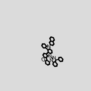 c1ccc(-c2nc(-n3c4ccc5c(c6ccccc6n5-c5ccc6ccccc6c5)c4c4ccc5oc6ccccc6c5c43)nc3ccccc23)cc1